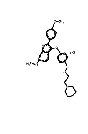 COc1ccc(-c2sc3cc(OC)ccc3c2Oc2ccc(SOCCN3CCCCC3)cc2)cc1.Cl